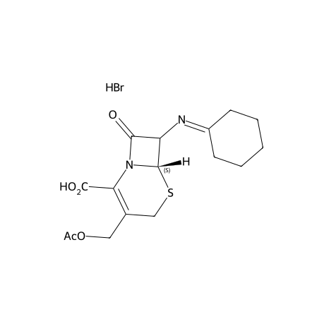 Br.CC(=O)OCC1=C(C(=O)O)N2C(=O)C(N=C3CCCCC3)[C@@H]2SC1